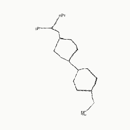 CCCC(CCC)C1CCC(C2CCC(CC#N)CC2)CC1